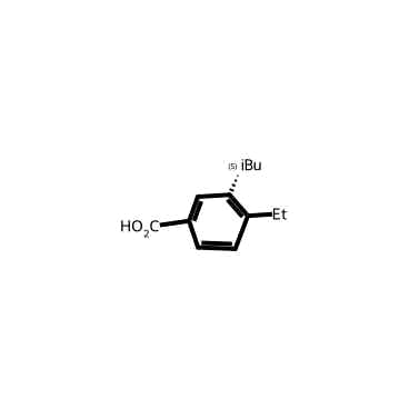 CCc1ccc(C(=O)O)cc1[C@@H](C)CC